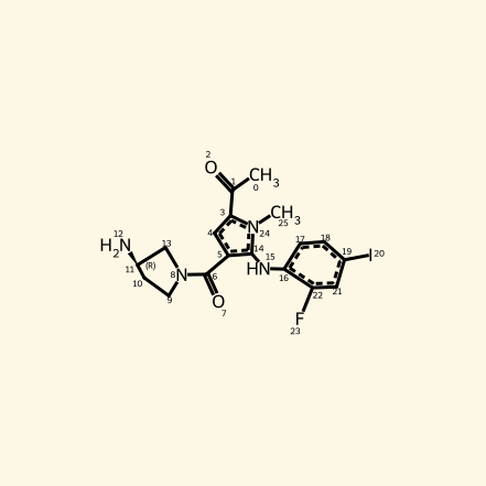 CC(=O)c1cc(C(=O)N2CC[C@@H](N)C2)c(Nc2ccc(I)cc2F)n1C